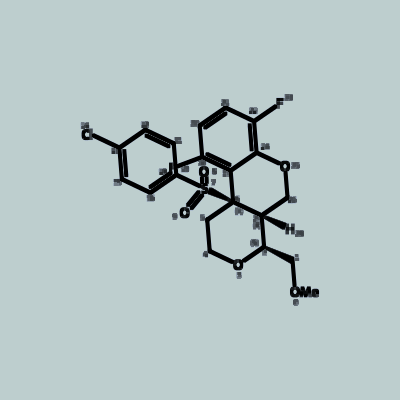 COC[C@H]1OCC[C@]2(S(=O)(=O)c3ccc(Cl)cc3)c3c(F)ccc(F)c3OC[C@H]12